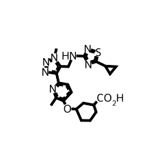 Cc1nc(-c2nnn(C)c2CNc2nsc(C3CC3)n2)ccc1OC1CCCC(C(=O)O)C1